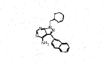 Nc1ncnc2c1c(-c1ccc3ccccc3c1)nn2CC1CCCCC1